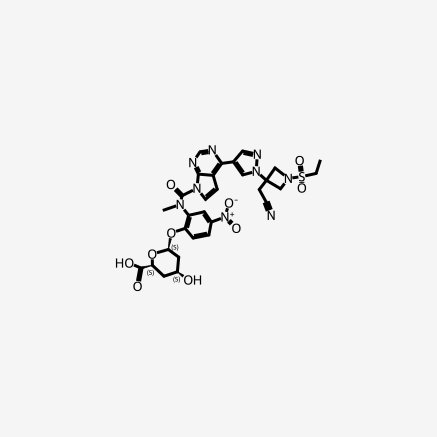 CCS(=O)(=O)N1CC(CC#N)(n2cc(-c3ncnc4c3ccn4C(=O)N(C)c3cc([N+](=O)[O-])ccc3O[C@H]3C[C@@H](O)C[C@@H](C(=O)O)O3)cn2)C1